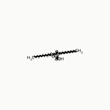 CCCCCCCCCCCCCOC(=O)CC(OCC(=O)O)C(=O)OCCCCCCCCCCCCC